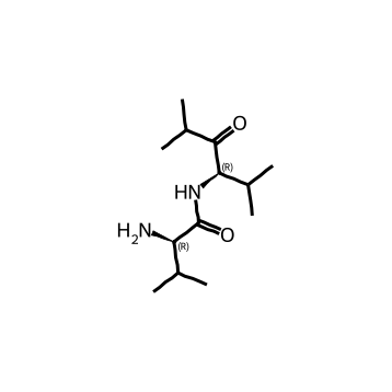 CC(C)C(=O)[C@H](NC(=O)[C@H](N)C(C)C)C(C)C